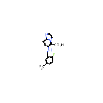 O=C(O)c1c(NCc2cc(C(F)(F)F)ccc2F)ccc2nccn12